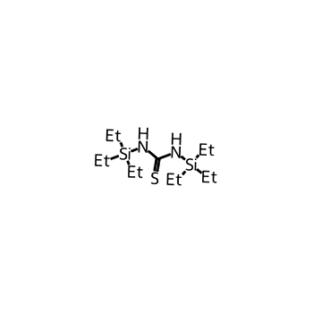 CC[Si](CC)(CC)NC(=S)N[Si](CC)(CC)CC